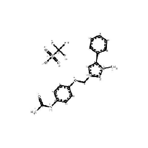 CC(=O)Nc1ccc(OC[n+]2cc(-c3ccccc3)n(C)n2)cc1.O=S(=O)([O-])C(F)(F)F